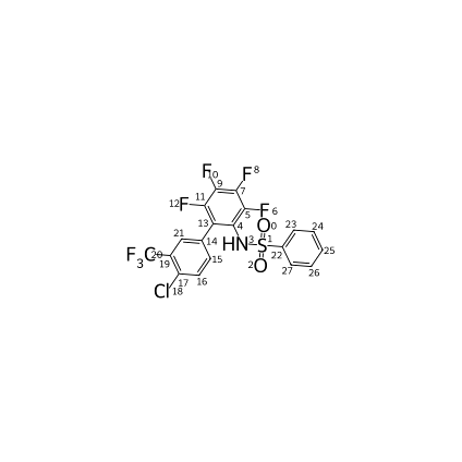 O=S(=O)(Nc1c(F)c(F)c(F)c(F)c1-c1ccc(Cl)c(C(F)(F)F)c1)c1ccccc1